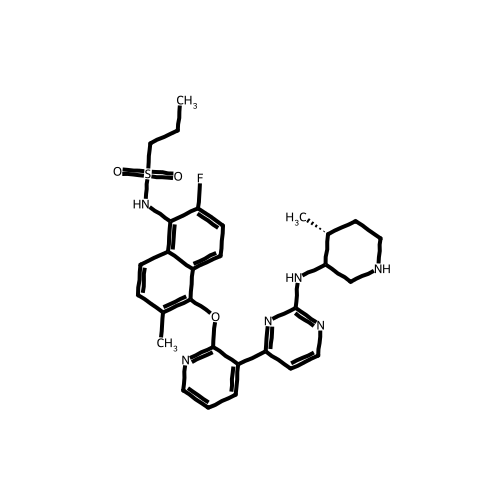 CCCS(=O)(=O)Nc1c(F)ccc2c(Oc3ncccc3-c3ccnc(NC4CNCC[C@H]4C)n3)c(C)ccc12